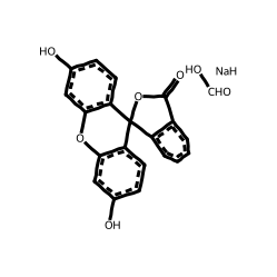 O=C1OC2(c3ccc(O)cc3Oc3cc(O)ccc32)c2ccccc21.O=CO.[NaH]